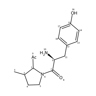 CC(=O)[C]1C(C)CCN1C(=O)[C@@H](N)Cc1ccc(O)cc1